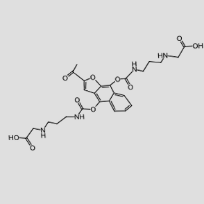 CC(=O)c1cc2c(OC(=O)NCCCNCC(=O)O)c3ccccc3c(OC(=O)NCCCNCC(=O)O)c2o1